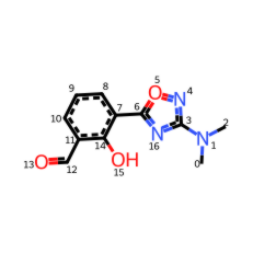 CN(C)c1noc(-c2cccc(C=O)c2O)n1